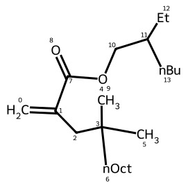 C=C(CC(C)(C)CCCCCCCC)C(=O)OCC(CC)CCCC